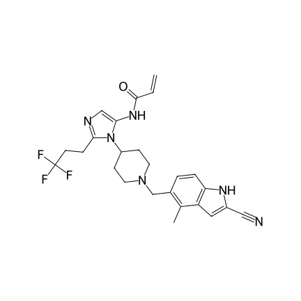 C=CC(=O)Nc1cnc(CCC(F)(F)F)n1C1CCN(Cc2ccc3[nH]c(C#N)cc3c2C)CC1